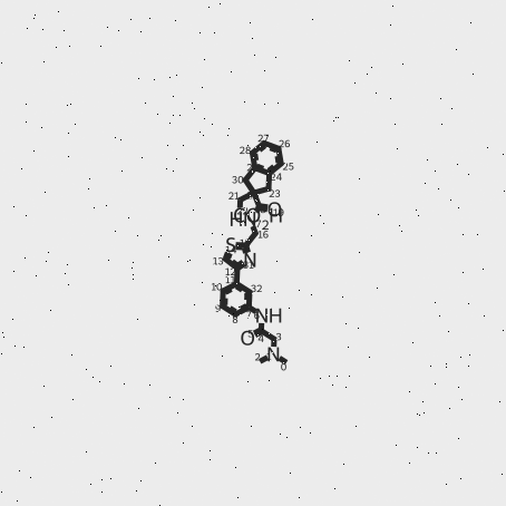 CN(C)CC(=O)Nc1cccc(-c2csc(CNC(=O)C3(CC(=O)O)Cc4ccccc4C3)n2)c1